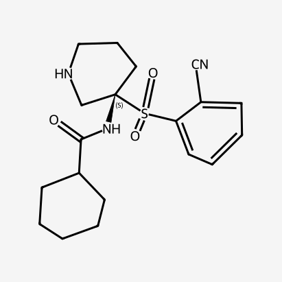 N#Cc1ccccc1S(=O)(=O)[C@@]1(NC(=O)C2CCCCC2)CCCNC1